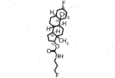 C[C@]12CC[C@H](F)C[C@@H]1CC[C@@H]1[C@@H]2CC[C@]2(C)[C@@H](OC(=O)NCCCF)CC[C@@H]12